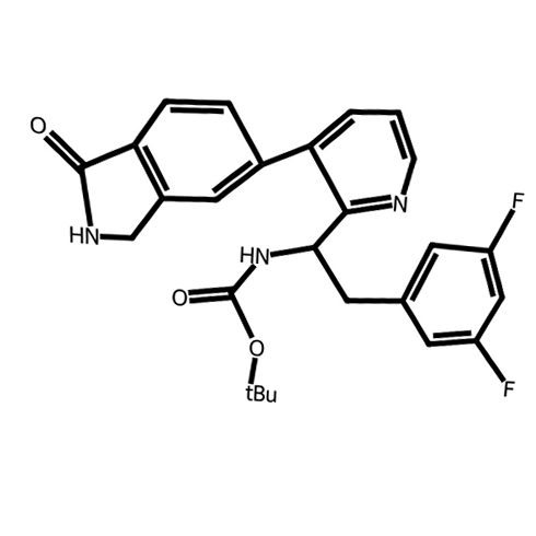 CC(C)(C)OC(=O)NC(Cc1cc(F)cc(F)c1)c1ncccc1-c1ccc2c(c1)CNC2=O